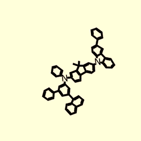 CC1(C)c2cc(N(c3ccccc3)c3cc(-c4ccccc4)cc(-c4cccc5ccccc45)c3)ccc2-c2ccc(-n3c4ccccc4c4cc(-c5ccccc5)ccc43)cc21